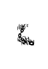 CCNc1nc2ccc(-c3ccc4c(c3)CN(c3ncnc(Nc5ccccc5)c3C)CCO4)cc2[nH]1